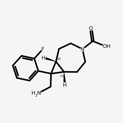 NCC1(c2ccccc2F)[C@@H]2CCN(C(=O)O)CC[C@@H]21